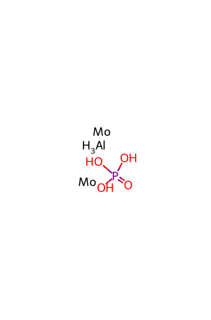 O=P(O)(O)O.[AlH3].[Mo].[Mo]